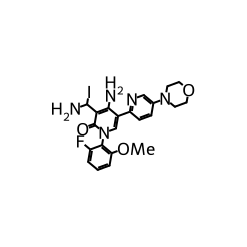 COc1cccc(F)c1-n1cc(-c2ccc(N3CCOCC3)cn2)c(N)c(C(N)I)c1=O